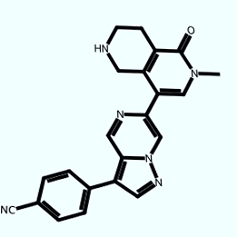 Cn1cc(-c2cn3ncc(-c4ccc(C#N)cc4)c3cn2)c2c(c1=O)CCNC2